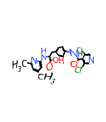 Cc1cc(C)nc(NC(Cc2ccc(NC(=O)c3c(Cl)cncc3Cl)cc2)C(=O)O)c1